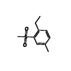 CCc1ccc(C)cc1S(C)(=O)=O